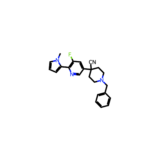 Cn1cccc1-c1ncc(C2(C#N)CCN(Cc3ccccc3)CC2)cc1F